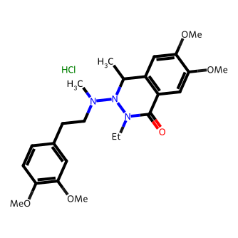 CCN1C(=O)c2cc(OC)c(OC)cc2C(C)N1N(C)CCc1ccc(OC)c(OC)c1.Cl